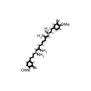 COc1ccc(CCCN(N)/C=C(\N)CCCC/C(N)=C/N(N)CCc2ccc(OC)c(Br)c2)cc1Br